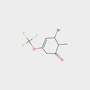 CC1C(=O)CC(OC(F)(F)F)=CC1Br